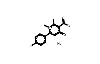 Cc1c(C(=O)[O-])c(=O)cc(-c2ccc(Br)cc2)n1C.[Na+]